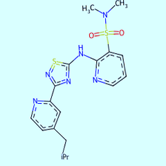 CC(C)Cc1ccnc(-c2nsc(Nc3ncccc3S(=O)(=O)N(C)C)n2)c1